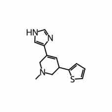 CN1CC(c2c[nH]cn2)=CC(c2cccs2)C1